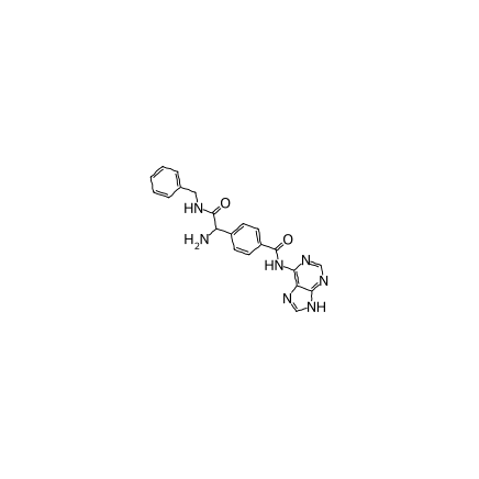 NC(C(=O)NCc1ccccc1)c1ccc(C(=O)Nc2ncnc3[nH]cnc23)cc1